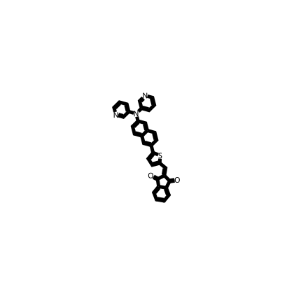 O=C1C(=Cc2ccc(-c3ccc4cc(N(c5cccnc5)c5cccnc5)ccc4c3)s2)C(=O)c2ccccc21